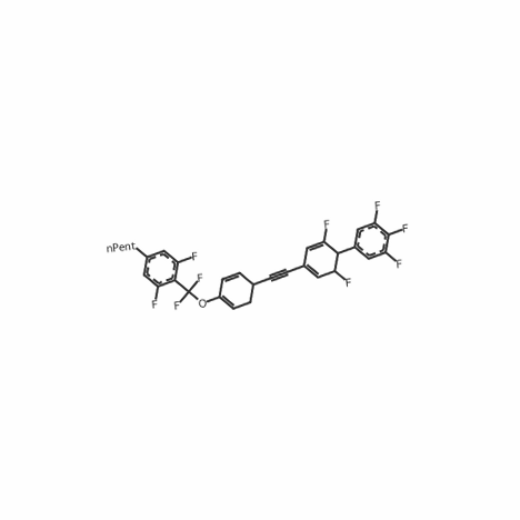 CCCCCc1cc(F)c(C(F)(F)OC2=CCC(C#CC3=CC(F)C(c4cc(F)c(F)c(F)c4)C(F)=C3)C=C2)c(F)c1